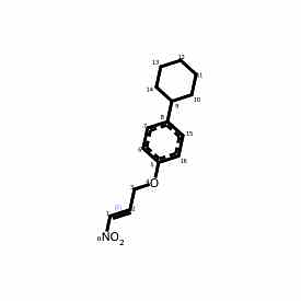 O=[N+]([O-])/C=C/COc1ccc(C2CCCCC2)cc1